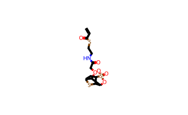 C=CC(=O)SCCNC(=O)COC1C2CC3C(S2)C1OS3(=O)=O